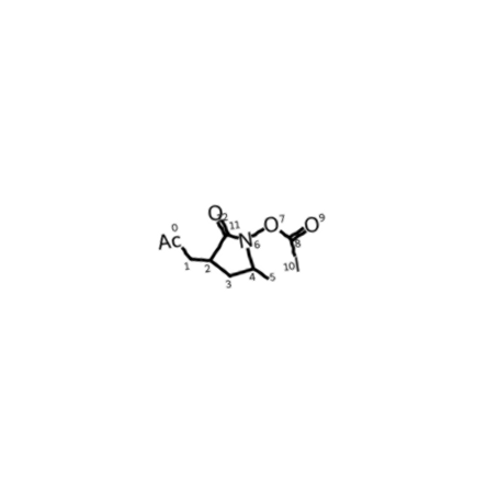 CC(=O)CC1CC(C)N(OC(=O)I)C1=O